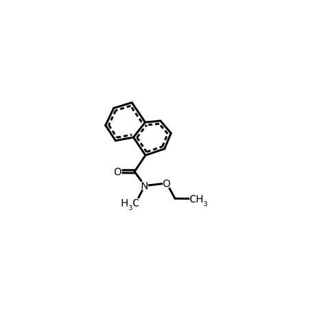 CCON(C)C(=O)c1cccc2ccccc12